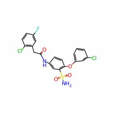 NS(=O)(=O)c1cc(NC(=O)Cc2cc(F)ccc2Cl)ccc1Oc1cccc(Cl)c1